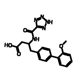 COc1ccccc1-c1ccc(CC(CC(=O)O)NC(=O)c2nn[nH]n2)cc1